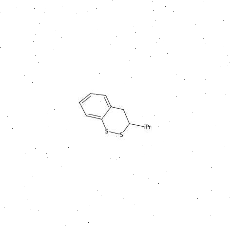 CC(C)C1Cc2ccccc2SS1